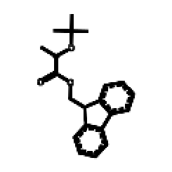 CC(OC(C)(C)C)C(=O)OCC1c2ccccc2-c2ccccc21